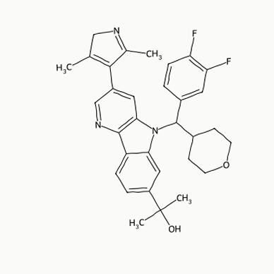 CC1=NCC(C)=C1c1cnc2c3ccc(C(C)(C)O)cc3n(C(c3ccc(F)c(F)c3)C3CCOCC3)c2c1